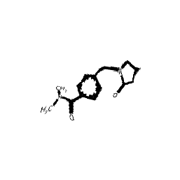 CN(C)C(=O)c1ccc(CN2CCCC2=O)cc1